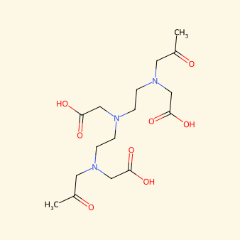 CC(=O)CN(CCN(CCN(CC(C)=O)CC(=O)O)CC(=O)O)CC(=O)O